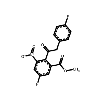 COC(=O)c1cc(F)cc([N+](=O)[O-])c1C(=O)Cc1ccc(F)cc1